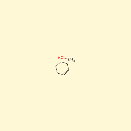 C1=CCCCC1.O[SiH3]